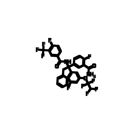 NC(=O)c1cc(C(Cc2ccccc2)(NC(=O)c2ccc(F)c(C(F)(F)F)c2)c2cc(F)cc(OC(F)(F)C(F)F)c2)ccc1F